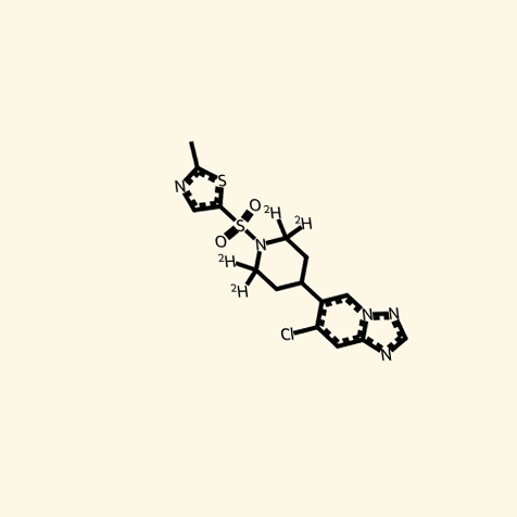 [2H]C1([2H])CC(c2cn3ncnc3cc2Cl)CC([2H])([2H])N1S(=O)(=O)c1cnc(C)s1